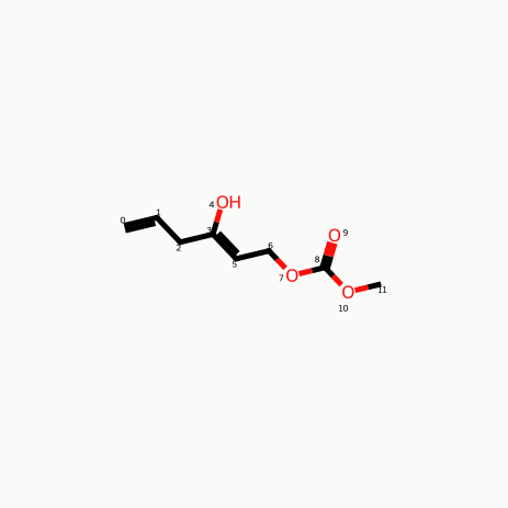 C=CCC(O)=CCOC(=O)OC